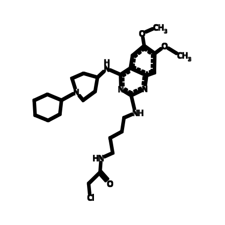 COc1cc2nc(NCCCCNC(=O)CCl)nc(NC3CCN(C4CCCCC4)CC3)c2cc1OC